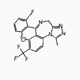 Cc1nnc2n1-c1ccc(C(F)(F)F)c(Cl)c1C(c1c(F)cccc1F)=NC2